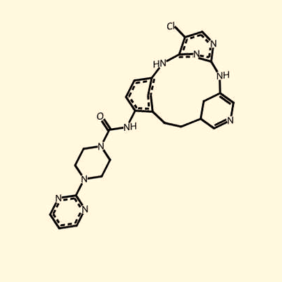 O=C(Nc1ccc2cc1CCC1C=NC=C(C1)Nc1ncc(Cl)c(n1)N2)N1CCN(c2ncccn2)CC1